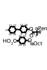 CCCCCC(C)(F)C(=O)Oc1ccc(-c2ccccc2)cc1.CCCCCCCCOc1ccc(C(=O)O)cc1